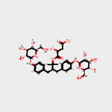 CC(C)(OC(=O)C(O)CC(=O)O)C(Cc1ccc(O[C@@H]2O[C@H](CO)[C@@H](O)[C@H](O)[C@H]2O)cc1)Cc1ccc(O[C@@H]2O[C@H](CO)[C@@H](O)[C@H](O)[C@H]2O)cc1